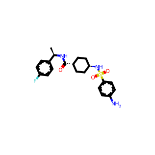 C[C@@H](NC(=O)[C@H]1CC[C@H](NS(=O)(=O)c2ccc(N)cc2)CC1)c1ccc(F)cc1